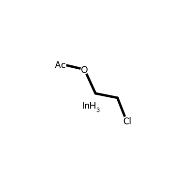 CC(=O)OCCCl.[InH3]